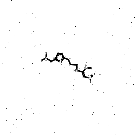 CNC(=C[N+](=O)[O-])NCCCc1ccc(CN(C)C)o1